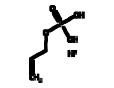 C=CCOP(=O)(O)O.F